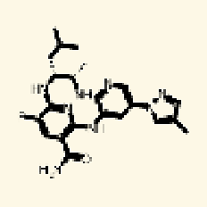 Cc1cnn(-c2cncc(Nc3nc(N[C@H](CC(C)C)[C@H](C)N)c(F)cc3C(N)=O)c2)c1